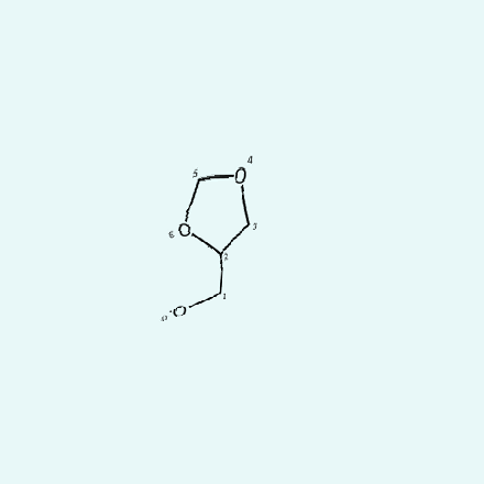 [O]CC1COCO1